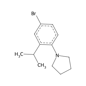 CC(C)c1cc(Br)ccc1N1CCCC1